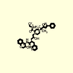 CC(C)(c1cc(-c2ccccc2)no1)N1CCN(C[C@@H](O)C[C@@H](Cc2cccnc2)C(=O)N[C@H]2c3ccccc3OC[C@H]2O)[C@H](C(=O)NCC(F)(F)F)C1